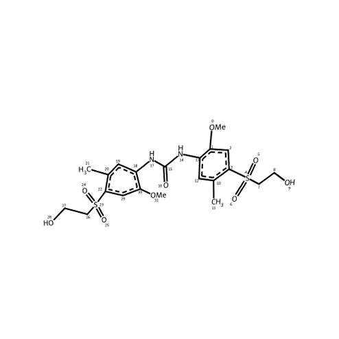 COc1cc(S(=O)(=O)CCO)c(C)cc1NC(=O)Nc1cc(C)c(S(=O)(=O)CCO)cc1OC